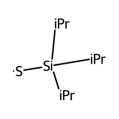 CC(C)[Si]([S])(C(C)C)C(C)C